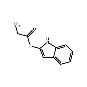 O=C(CC(F)(F)F)Oc1cc2ccccc2[nH]1